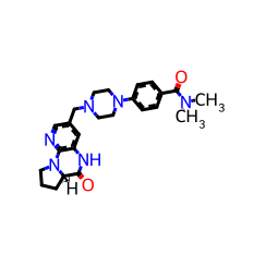 CN(C)C(=O)c1ccc(N2CCN(Cc3cnc4c(c3)NC(=O)[C@@H]3CCCN43)CC2)cc1